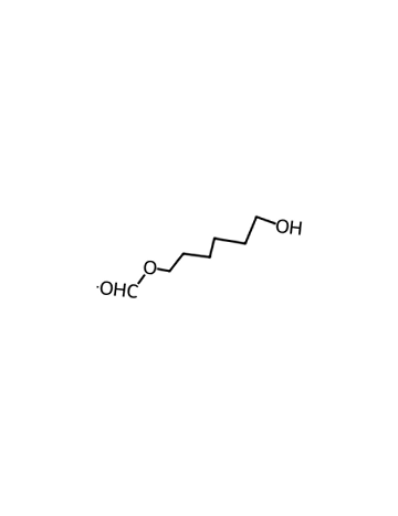 O=[C]OCCCCCCO